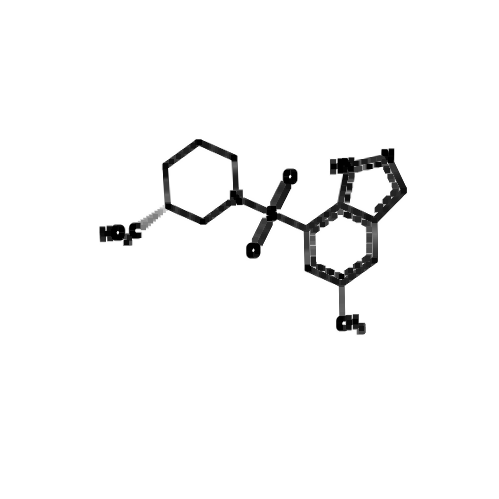 Cc1cc(S(=O)(=O)N2CCC[C@@H](C(=O)O)C2)c2[nH]ncc2c1